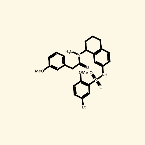 CCc1ccc(OC)c(S(=O)(=O)Nc2ccc3c(c2)C(N(C)C(=O)Cc2cccc(OC)c2)CCC3)c1